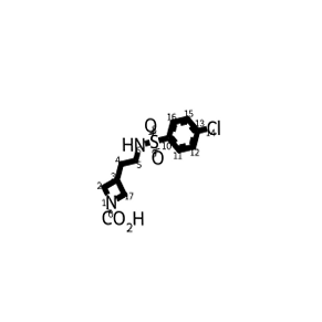 O=C(O)N1CC(CCNS(=O)(=O)c2ccc(Cl)cc2)C1